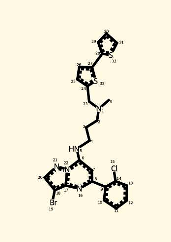 CN(CCCNc1cc(-c2ccccc2Cl)nc2c(Br)cnn12)Cc1ccc(-c2cccs2)s1